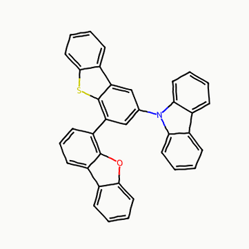 c1ccc2c(c1)oc1c(-c3cc(-n4c5ccccc5c5ccccc54)cc4c3sc3ccccc34)cccc12